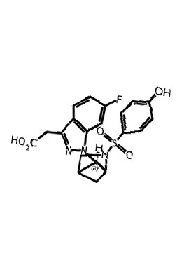 O=C(O)Cc1nn([C@@H]2C3CC2N(S(=O)(=O)c2ccc(O)cc2)C3)c2cc(F)ccc12